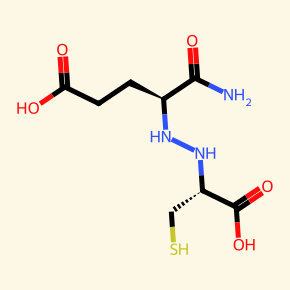 NC(=O)[C@H](CCC(=O)O)NN[C@@H](CS)C(=O)O